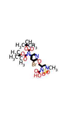 CN1CC(COc2ncc(N(C(=O)OC(C)(C)C)C(=O)OC(C)(C)C)cc2Br)N(C(=O)O)S1(=O)=O